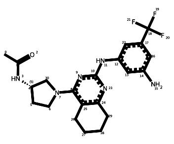 CC(=O)N[C@H]1CCN(c2nc(Nc3cc(N)cc(C(F)(F)F)c3)nc3c2CCCC3)C1